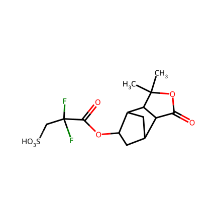 CC1(C)OC(=O)C2C3CC(OC(=O)C(F)(F)CS(=O)(=O)O)C(C3)C21